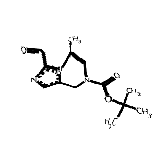 C[C@H]1CN(C(=O)OC(C)(C)C)Cc2cnc(C=O)n21